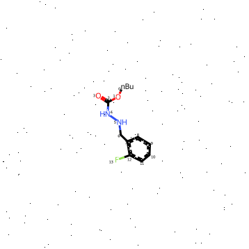 CCCCOC(=O)NNCc1ccccc1F